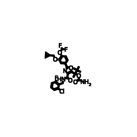 CC(C)(C)C(C)(OC(N)=O)c1oc(-c2ccc(OC(F)F)c(OCC3CC3)c2)nc1C(=O)NCc1c(F)cccc1Cl